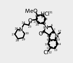 COc1ccc(N2Cc3c(c4cc(Cl)ccc4n3C)C2=O)cc1OCCN1CCCCC1.Cl